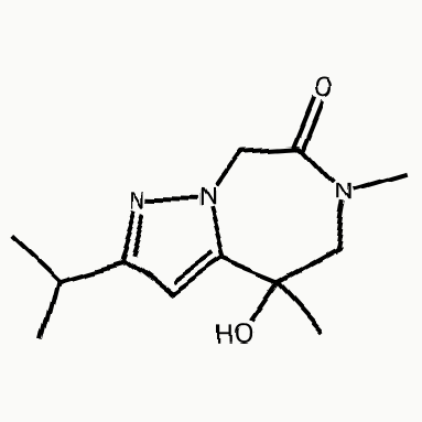 CC(C)c1cc2n(n1)CC(=O)N(C)CC2(C)O